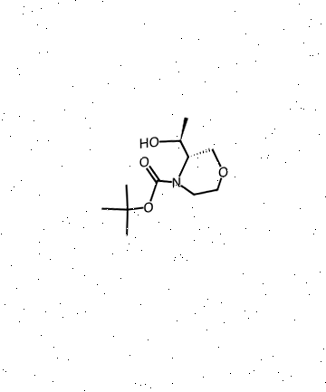 C[C@H](O)[C@@H]1COCCN1C(=O)OC(C)(C)C